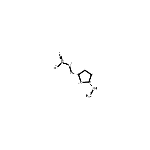 CN[C@H]1CC[C@@H](CO[PH](=O)O)O1